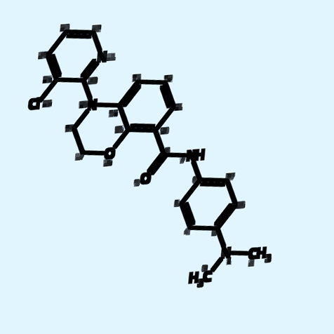 CN(C)c1ccc(NC(=O)c2cccc3c2OCCN3c2ncccc2Cl)cc1